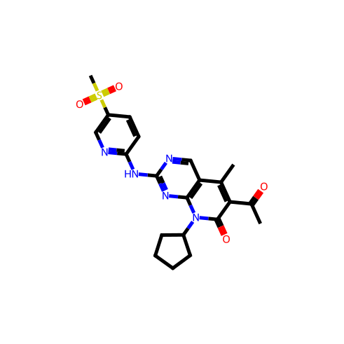 CC(=O)c1c(C)c2cnc(Nc3ccc(S(C)(=O)=O)cn3)nc2n(C2CCCC2)c1=O